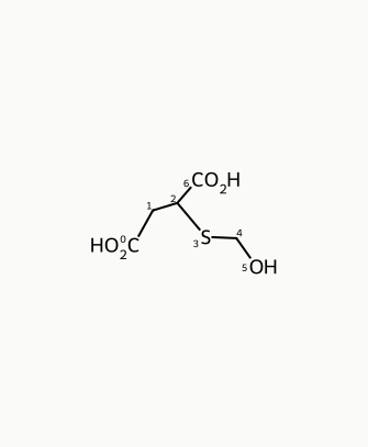 O=C(O)CC(SCO)C(=O)O